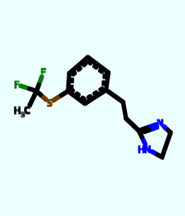 CC(F)(F)Sc1cccc(CCC2=NCCN2)c1